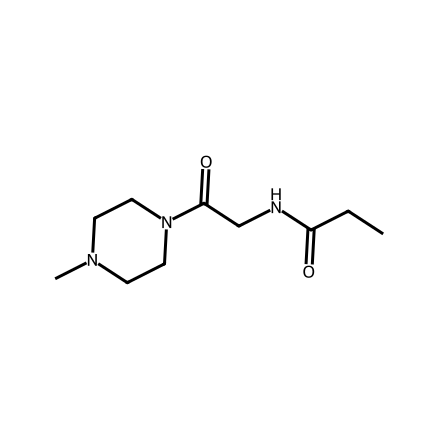 CCC(=O)NCC(=O)N1CCN(C)CC1